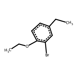 CCOc1ccc(CC)cc1Br